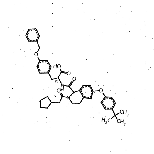 CC(C)(C)c1ccc(Oc2ccc3c(c2)CCN(C(=O)CC2CCCC2)C3C(=O)N[C@@H](Cc2ccc(OCc3ccccc3)cc2)C(=O)O)cc1